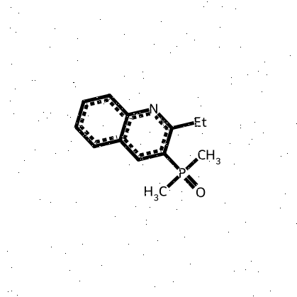 CCc1nc2ccccc2cc1P(C)(C)=O